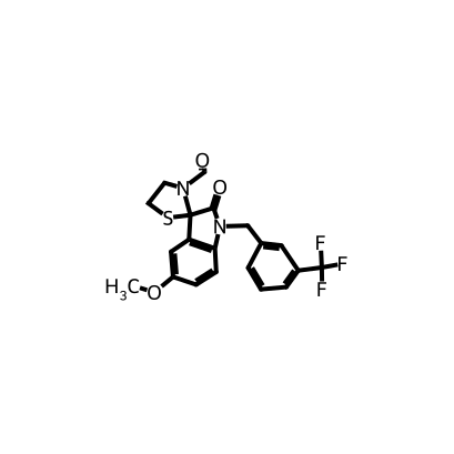 COc1ccc2c(c1)C1(SCCN1C=O)C(=O)N2Cc1cccc(C(F)(F)F)c1